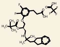 CC(C)(CC1Cc2ccccc2C1)NC[C@H](COc1cc(CCC(=O)O)cc(F)c1F)OC(=O)C(C)(C)C.O=C(O)C(F)(F)F